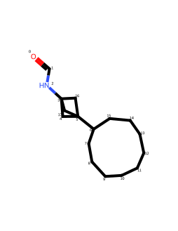 O=CNC12CC(C3CCCCCCCCC3)(C1)C2